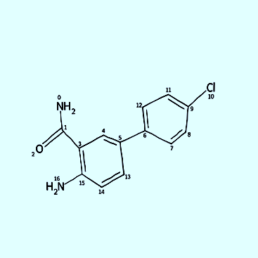 NC(=O)c1cc(-c2ccc(Cl)cc2)ccc1N